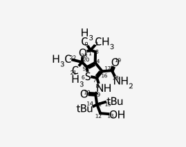 CC1(C)Cc2c(sc(NC(=O)C(CO)(C(C)(C)C)C(C)(C)C)c2C(N)=O)C(C)(C)O1